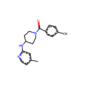 Cc1ccnc(NC2CCN(C(=O)c3ccc(C#N)cc3)CC2)c1